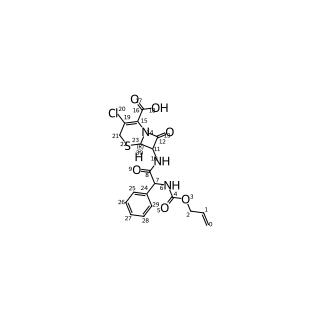 C=CCOC(=O)NC(C(=O)NC1C(=O)N2C(C(=O)O)=C(Cl)CS[C@H]12)c1ccccc1